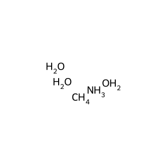 C.N.O.O.O